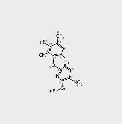 CCCSc1nc(Oc2c(Cl)cc(C(F)(F)F)c(Cl)c2Cl)ccc1[N+](=O)[O-]